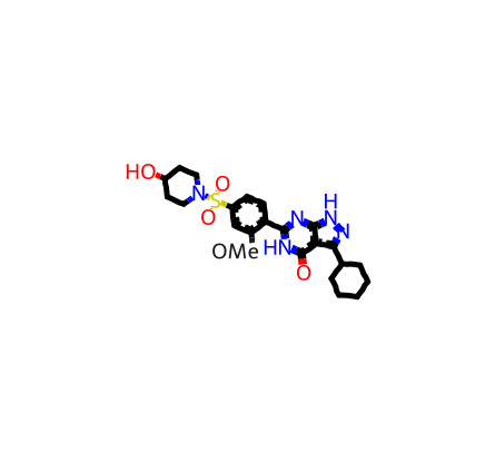 COc1cc(S(=O)(=O)N2CCC(O)CC2)ccc1-c1nc2[nH]nc(C3CCCCC3)c2c(=O)[nH]1